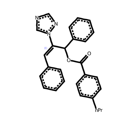 CCCc1ccc(C(=O)OC(/C(=C\c2ccccc2)n2cncn2)c2ccccc2)cc1